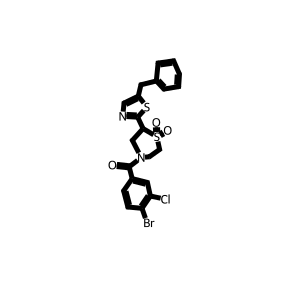 O=C(c1ccc(Br)c(Cl)c1)N1CCS(=O)(=O)C(c2ncc(Cc3ccccc3)s2)C1